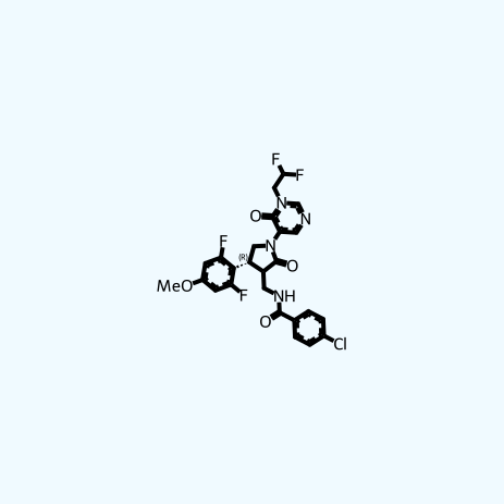 COc1cc(F)c([C@@H]2CN(c3cncn(CC(F)F)c3=O)C(=O)C2CNC(=O)c2ccc(Cl)cc2)c(F)c1